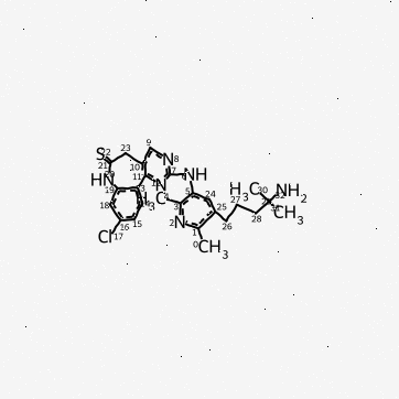 Cc1nc(C)c(Nc2ncc3c(n2)-c2ccc(Cl)cc2NC(=S)C3)cc1CCCC(C)(C)N